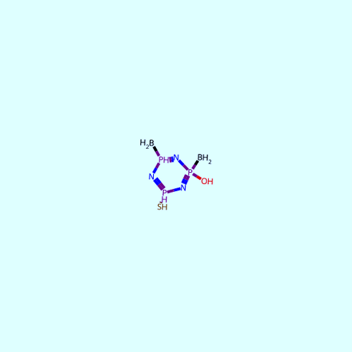 B[PH]1=NP(B)(O)=N[PH](S)=N1